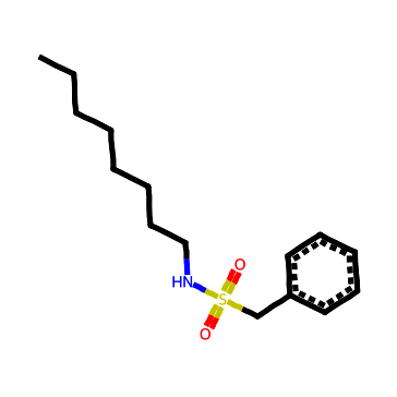 CCCCCCCCNS(=O)(=O)Cc1ccccc1